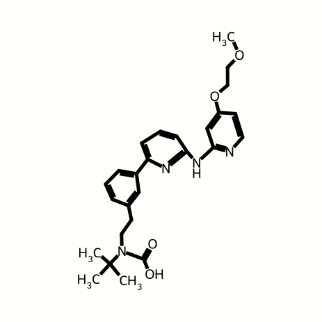 COCCOc1ccnc(Nc2cccc(-c3cccc(CCN(C(=O)O)C(C)(C)C)c3)n2)c1